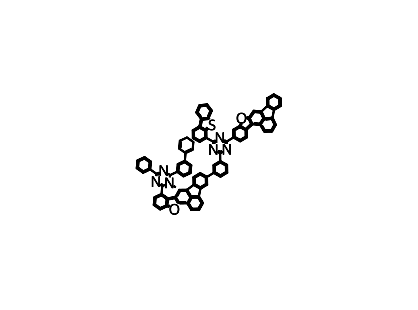 CN1C(c2cccc3oc4c5cccc6c5c(cc4c23)-c2ccc(-c3cccc(-c4nc(-c5ccc7c(c5)oc5cc8c9c(cccc9c57)-c5ccccc5-8)nc(-c5cccc7c5sc5ccccc57)n4)c3)cc2-6)=NC(c2ccccc2)=NC1c1cccc(C2=CCCC=C2)c1